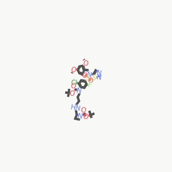 COc1ccc(CN(c2cnns2)S(=O)(=O)c2cc(Cl)c(N(CCCCNCC3CCN3C(=O)OC(C)(C)C)C(=O)OC(C)(C)C)cc2F)c(OC)c1